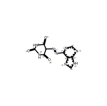 O=C1NC(=O)C(/N=N/c2ncnc3[nH]cnc23)C(=O)N1